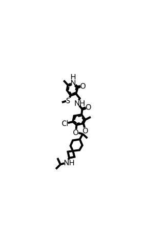 CSc1cc(C)[nH]c(=O)c1CNC(=O)c1cc(Cl)c2c(c1C)OC(C)(C1CCC3(CC1)CC(NC(C)C)C3)O2